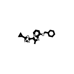 Cc1nc2c(OCC3CCCCC3)cccn2c1-c1nnc(C2CC2)o1